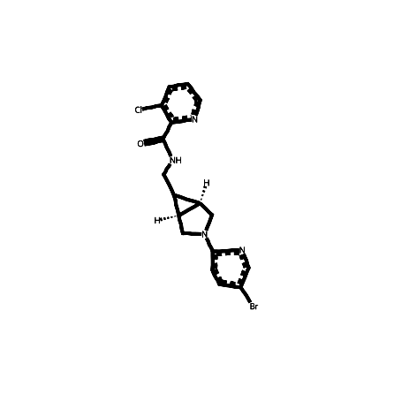 O=C(NCC1[C@H]2CN(c3ccc(Br)cn3)C[C@@H]12)c1ncccc1Cl